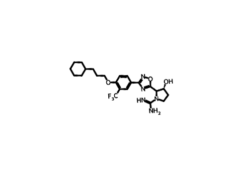 N=C(N)N1CC[C@H](O)C1c1nc(-c2ccc(OCCCC3CCCCC3)c(C(F)(F)F)c2)no1